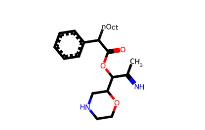 CCCCCCCCC(C(=O)OC(C(C)=N)C1CNCCO1)c1ccccc1